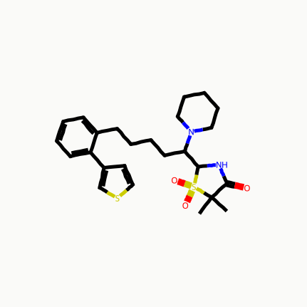 CC1(C)C(=O)NC(C(CCCCc2ccccc2-c2ccsc2)N2CCCCC2)S1(=O)=O